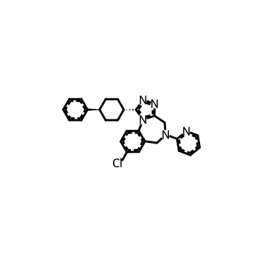 Clc1ccc2c(c1)CN(c1ccccn1)Cc1nnc([C@H]3CC[C@H](c4ccccc4)CC3)n1-2